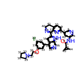 O=C(Nc1cncc(-c2ccc3c(n2)C(c2cc4c(-c5cc(F)cc(OCCN6CCCC6)c5)cncc4[nH]2)=NCC3)c1)C1CC1